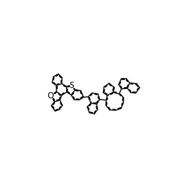 c1cccc(-c2ccc(-c3ccc4c(c3)sc3c5ccccc5c5oc6ccccc6c5c43)c3ccccc23)c2ccccc2c(-c2cccc3ccccc23)cc1